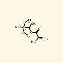 C=C(C)C(=O)OC(C)[Si](CCC)(OCC)OCC